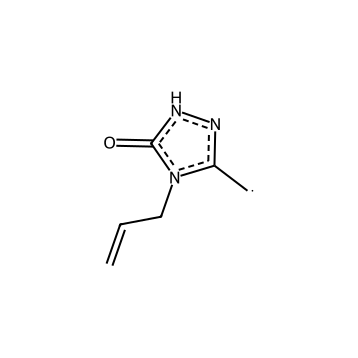 [CH2]c1n[nH]c(=O)n1CC=C